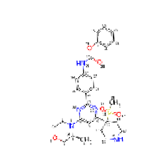 C[C@H]1COCCN1c1cc(C2(S(C)(=O)=O)CCNCC2)nc(-c2ccc(NC(=O)Oc3ccccc3)cc2)n1